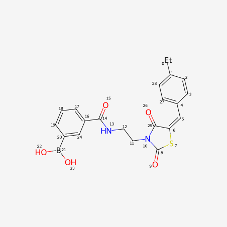 CCc1ccc(C=C2SC(=O)N(CCNC(=O)c3cccc(B(O)O)c3)C2=O)cc1